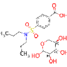 CCCN(CCC)S(=O)(=O)c1ccc(C(=O)O)cc1.OC1OC[C@@H](O)[C@H](O)[C@H]1O